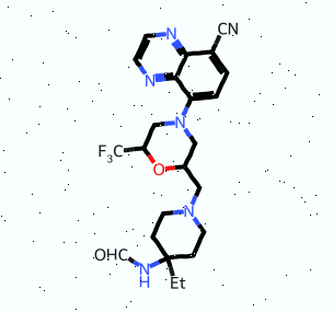 CCC1(NC=O)CCN(CC2CN(c3ccc(C#N)c4nccnc34)CC(C(F)(F)F)O2)CC1